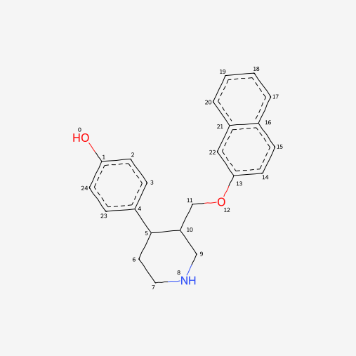 Oc1ccc(C2CCNCC2COc2ccc3ccccc3c2)cc1